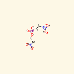 O=[N+]([O-])CCO[PH](=O)OCC[N+](=O)[O-]